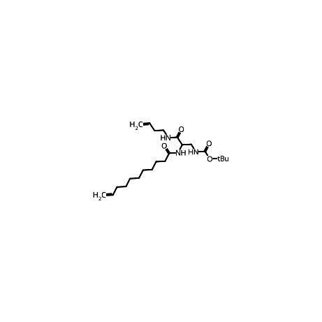 C=CCCCCCCCCC(=O)NC(CNC(=O)OC(C)(C)C)C(=O)NCCC=C